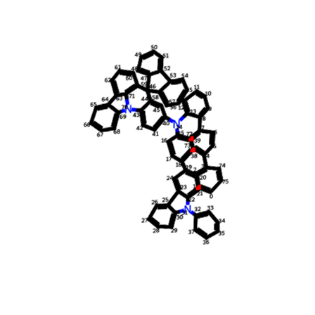 c1ccc(-c2ccc(-c3ccccc3N(c3ccc(-c4ccc5c(c4)c4ccccc4n5-c4ccccc4)cc3)c3ccc4c(c3)C3(c5ccccc5-c5ccccc53)c3cccc5c6ccccc6n-4c35)cc2)cc1